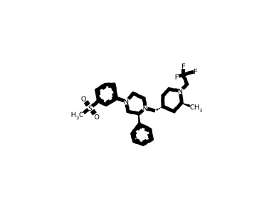 C[C@H]1C[C@H](CN2CCN(c3cccc(S(C)(=O)=O)c3)C[C@@H]2c2ccccc2)CCN1CC(F)(F)F